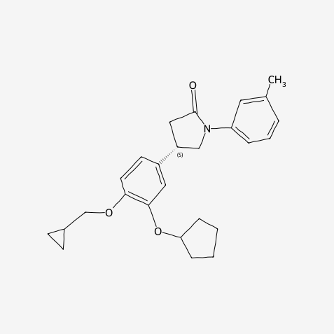 Cc1cccc(N2C[C@H](c3ccc(OCC4CC4)c(OC4CCCC4)c3)CC2=O)c1